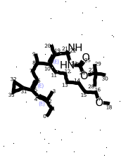 CC/C(C)=C/C(=C/CC(C)/C(CCCCCCOC)=C(\C)C(=N)NC(=O)OC(C)(C)C)C1CC1